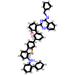 N/C(=N\C(=N/Cc1ccccc1)c1ccccc1)c1cccc2oc3c(-c4ccc5c(c4)sc4c(Nc6ccccc6-c6ccccc6)cccc45)cccc3c12